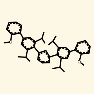 COc1ccccc1-c1cc(C(C)C)c(-c2cccc(-c3c(C(C)C)cc(-c4ccccc4OC)cc3C(C)C)c2)c(C(C)C)c1